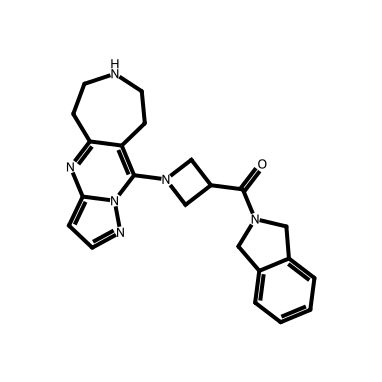 O=C(C1CN(c2c3c(nc4ccnn24)CCNCC3)C1)N1Cc2ccccc2C1